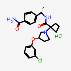 C[C@H](NC(=O)C1(N2CC[C@@H](Oc3cccc(Cl)c3)C2)CCC1)c1ccc(C(N)=O)cc1.Cl